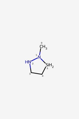 CN1NCC[SiH2]1